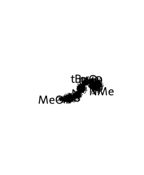 CN[C@H]1CN(C(=O)[C@H](CC(C)(C)C)NC(=O)c2ccc(-c3csc(N4CCN(CCOC)CC4)n3)cc2)[C@@H]2C(=O)CO[C@H]12